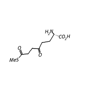 CSC(=O)CCC(=O)CC[C@H](N)C(=O)O